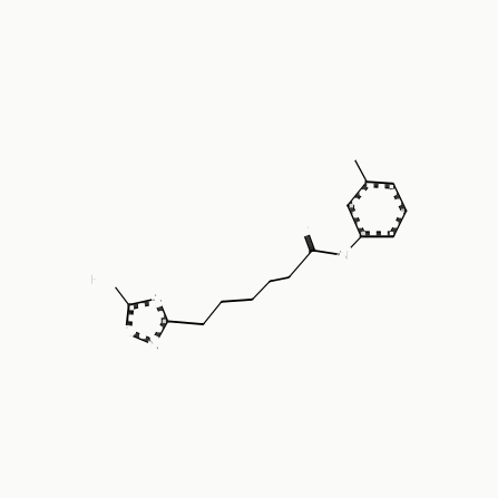 O=C(CCCCCc1noc(C(F)(F)F)n1)Nc1cccc(F)c1